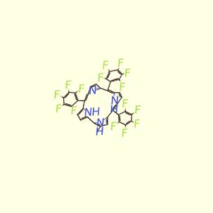 Cc1cc2[nH]c1c1ccc([nH]1)c(-c1c(F)c(F)c(F)c(F)c1F)c1nc(c(-c3c(F)c(F)c(F)c(F)c3F)c3ccc([nH]3)c2-c2c(F)c(F)c(F)c(F)c2F)C=C1